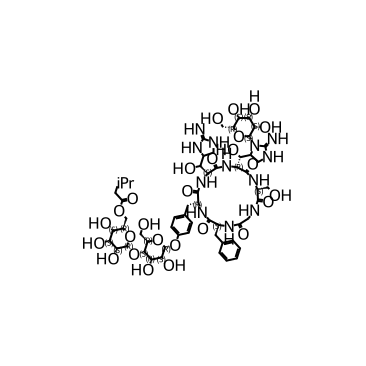 CC(C)CC(=O)OC[C@H]1O[C@H](O[C@H]2[C@H](O)[C@H](O)[C@@H](Oc3ccc(C[C@H]4NC(=O)[C@H](Cc5ccccc5)NC(=O)CNC(=O)[C@H](CO)NC(=O)[C@@H](C(O)C5CNC(=N)N5[C@H]5O[C@H](CO)[C@@H](O)[C@H](O)[C@@H]5O)NC(=O)[C@H](C(O)C5CNC(=N)N5)NC4=O)cc3)O[C@@H]2CO)[C@@H](O)[C@@H](O)[C@@H]1O